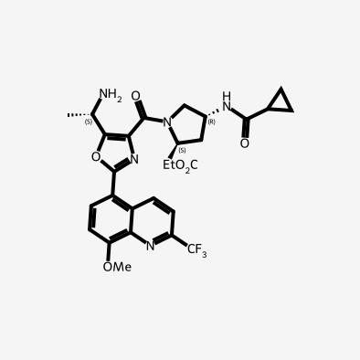 CCOC(=O)[C@@H]1C[C@@H](NC(=O)C2CC2)CN1C(=O)c1nc(-c2ccc(OC)c3nc(C(F)(F)F)ccc23)oc1[C@H](C)N